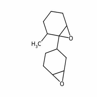 CC1CCCC2OC12C1CCC2OC2C1